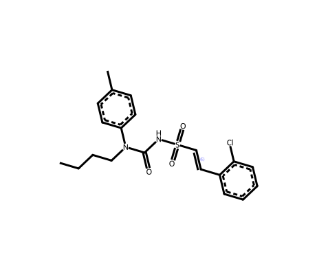 CCCCN(C(=O)NS(=O)(=O)/C=C/c1ccccc1Cl)c1ccc(C)cc1